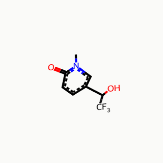 Cn1cc(C(O)C(F)(F)F)ccc1=O